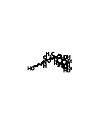 CC[C@H]1[C@@H](O)C2[C@H](CC[C@]3(C)[C@@H]([C@H](C)CCOC(=O)NCCCCCO)CC[C@@H]23)C2(C)CC[C@@H](O)C[C@@H]12